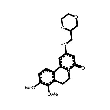 COc1ccc2c(c1OC)CCn1c-2cc(NCC2COCCO2)cc1=O